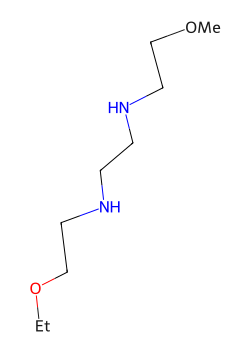 CCOCCNCCNCCOC